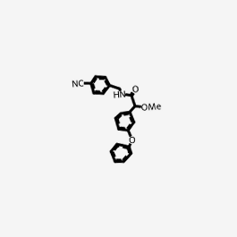 COC(C(=O)NCc1ccc(C#N)cc1)c1cccc(Oc2ccccc2)c1